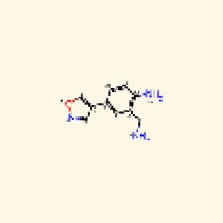 NCc1cc(-c2cnoc2)ccc1N